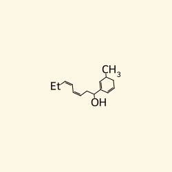 CC/C=C\C=C/CC(O)C1=CC(C)CC=C1